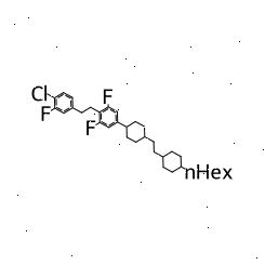 CCCCCCC1CCC(CCC2CCC(c3cc(F)c(CCc4ccc(Cl)c(F)c4)c(F)c3)CC2)CC1